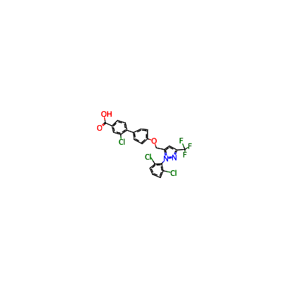 O=C(O)c1ccc(-c2ccc(OCc3cc(C(F)(F)F)nn3-c3c(Cl)cccc3Cl)cc2)c(Cl)c1